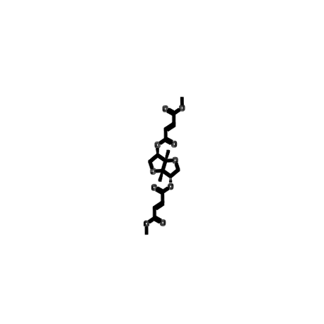 COC(=O)/C=C/C(=O)O[C@H]1CO[C@@]2(C)[C@H](OC(=O)/C=C/C(=O)OC)CO[C@@]12C